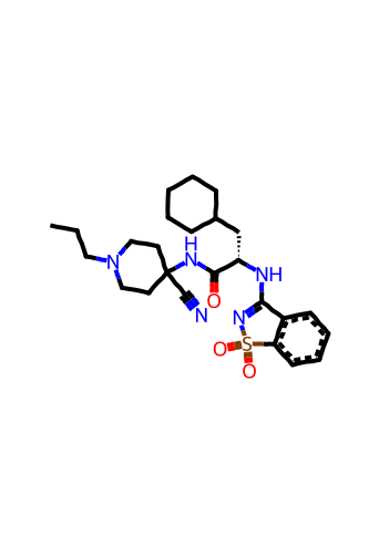 CCCN1CCC(C#N)(NC(=O)[C@H](CC2CCCCC2)NC2=NS(=O)(=O)c3ccccc32)CC1